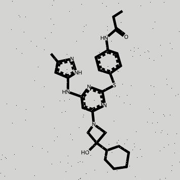 CCC(=O)Nc1ccc(Sc2nc(Nc3cc(C)n[nH]3)cc(N3CC(O)(C4CCCCC4)C3)n2)cc1